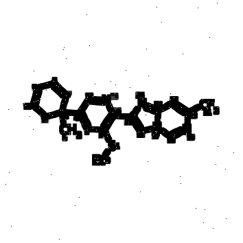 CCSc1cc(C2(C)C=CC=CC2)cnc1-c1cn2cnc(C(F)(F)F)cc2n1